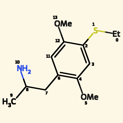 CCSc1cc(OC)c(CC(C)N)cc1OC